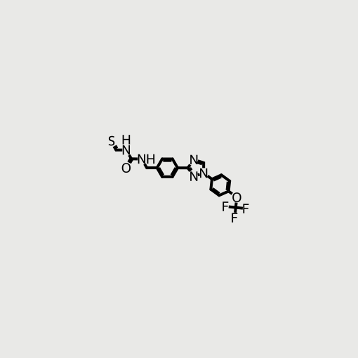 O=C(NC=S)NCc1ccc(-c2ncn(-c3ccc(OC(F)(F)F)cc3)n2)cc1